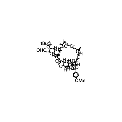 C=C1C[C@@H]2CC[C@]34O[C@@H]5[C@@H]6O[C@H]7CCC(CC(=O)O[C@@H]8[C@@H](C)[C@@H]9O[C@H](CC=O)C(O[Si](C)(C)C(C)(C)C)C[C@@H]9O[C@H]8CC8OC(CCC1O2)C[C@@H](C)C8=C)OC7[C@H](O3)[C@@H]6O[C@@]51O[C@@H](c2ccc(OC)cc2)O[C@@H]41